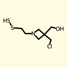 OCC1(CCl)CN(CCSS)C1